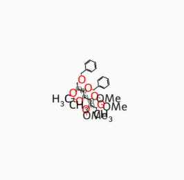 COOC(C)[C@H](OOC)[C@@H](OOC)[C@@H]1OC(C)(C)O[C@@H](COCc2ccccc2)[C@H]1OCc1ccccc1